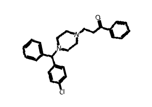 O=C(CCN1CCN(C(c2ccccc2)c2ccc(Cl)cc2)CC1)c1ccccc1